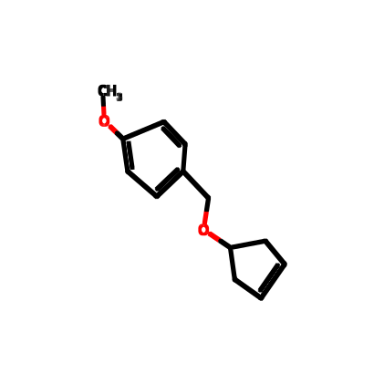 COc1ccc(COC2CC=CC2)cc1